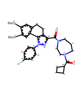 COc1cc2c(cc1OC)-c1c(c(C(=O)N3CCCN(C(=O)C4CCC4)CC3)nn1-c1ccc(F)cc1)CC2